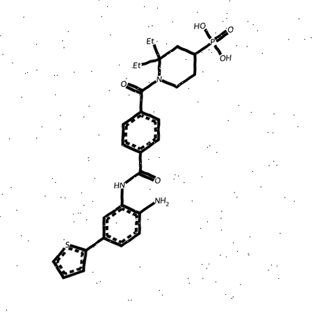 CCC1(CC)CC(P(=O)(O)O)CCN1C(=O)c1ccc(C(=O)Nc2cc(-c3cccs3)ccc2N)cc1